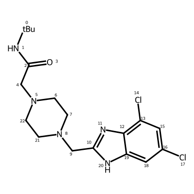 CC(C)(C)NC(=O)CN1CCN(Cc2nc3c(Cl)cc(Cl)cc3[nH]2)CC1